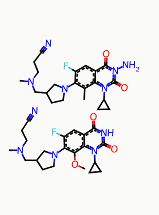 COc1c(N2CCC(CN(C)CCC#N)C2)c(F)cc2c(=O)[nH]c(=O)n(C3CC3)c12.Cc1c(N2CCC(CN(C)CCC#N)C2)c(F)cc2c(=O)n(N)c(=O)n(C3CC3)c12